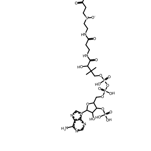 CC(=O)CC[S+]([O-])CCNC(=O)CCNC(=O)C(O)C(C)(C)COP(=O)(O)OP(=O)(O)OCC1OC(n2cnc3c(N)ncnc32)C(O)C1OP(=O)(O)O